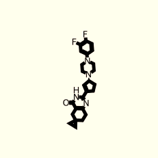 O=c1[nH]c(C2=C[C@H](N3CCN(c4ccc(F)c(F)c4)CC3)CC2)nc2c1CC1(CC2)CC1